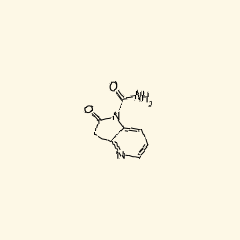 NC(=O)N1C(=O)Cc2ncccc21